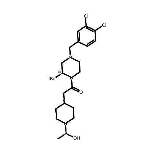 CB(O)N1CCC(CC(=O)N2CCN(Cc3ccc(Cl)c(Cl)c3)C[C@@H]2C(C)(C)C)CC1